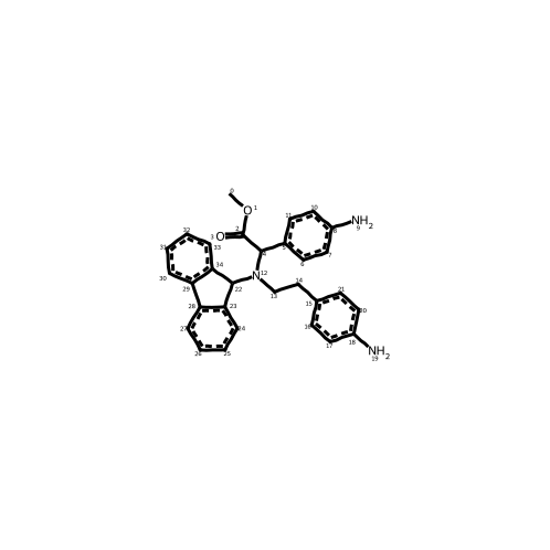 COC(=O)C(c1ccc(N)cc1)N(CCc1ccc(N)cc1)C1c2ccccc2-c2ccccc21